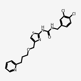 O=C(NCc1ccc(Cl)c(Cl)c1)Nc1nc(COCCCc2ccccn2)cs1